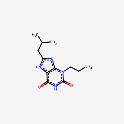 CCCn1c(=O)[nH]c(=O)c2[nH]c(CC(C)C)nc21